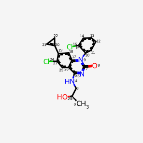 C[C@@H](O)CNc1nc(=O)n(-c2ccccc2Cl)c2cc(C3=CC3)c(Cl)cc12